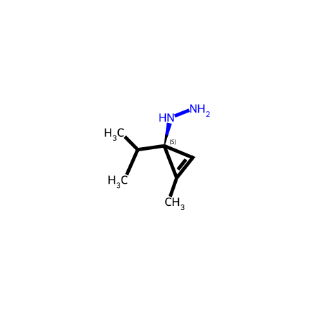 CC1=C[C@@]1(NN)C(C)C